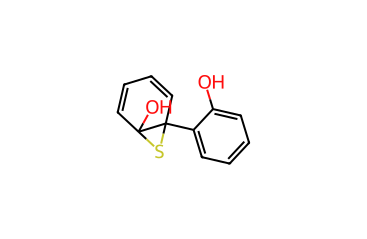 Oc1ccccc1C12C=CC=CC1(O)S2